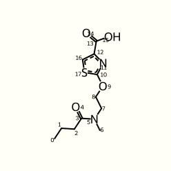 CCCC(=O)N(C)CCOc1nc(C(=O)O)cs1